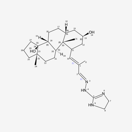 CC(/C=N/NC1=NCCN1)=C\C1C[C@H](O)C[C@H]2CC[C@@H]3[C@H](CC[C@]4(C)CCC[C@]34O)[C@@]12C